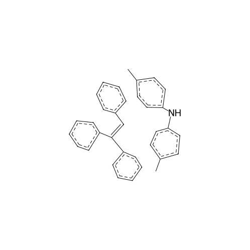 C(=C(c1ccccc1)c1ccccc1)c1ccccc1.Cc1ccc(Nc2ccc(C)cc2)cc1